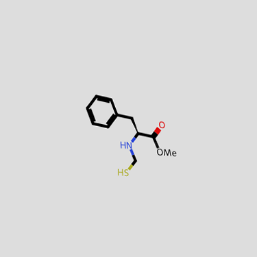 COC(=O)[C@H](Cc1ccccc1)NCS